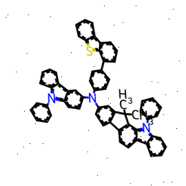 CC1(C)c2cc(N(c3ccc(-c4cccc5c4sc4ccccc45)cc3)c3ccc4c(c3)c3ccccc3n4-c3ccccc3)ccc2-c2ccc3c4ccccc4n(-c4ccccc4)c3c21